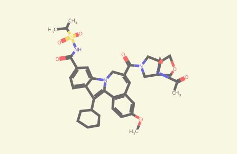 COc1ccc2c(c1)C=C(C(=O)N1CC34COCC3(C1)N(C(C)=O)C4)Cn1c-2c(C2CCCCC2)c2ccc(C(=O)NS(=O)(=O)C(C)C)cc21